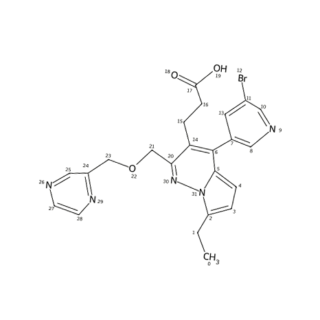 CCc1ccc2c(-c3cncc(Br)c3)c(CCC(=O)O)c(COCc3cnccn3)nn12